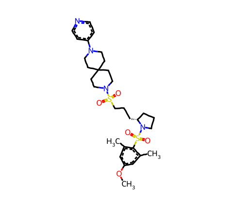 COc1cc(C)c(S(=O)(=O)N2CCC[C@H]2CCCS(=O)(=O)N2CCC3(CCN(c4ccncc4)CC3)CC2)c(C)c1